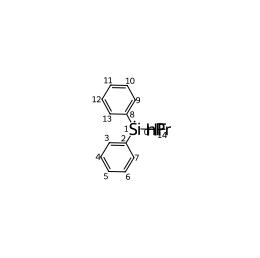 CCC[Si](c1ccccc1)c1ccccc1.F